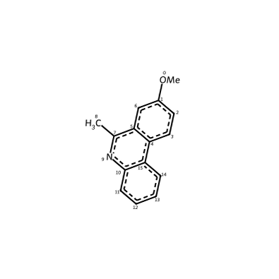 COc1ccc2c(c1)c(C)nc1ccccc12